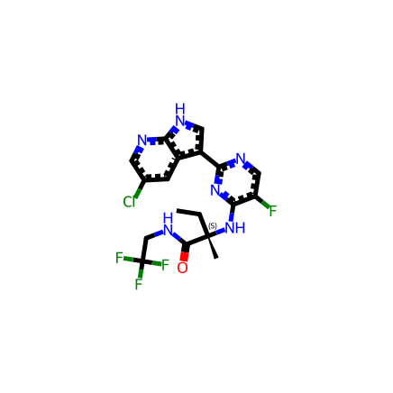 CC[C@](C)(Nc1nc(-c2c[nH]c3ncc(Cl)cc23)ncc1F)C(=O)NCC(F)(F)F